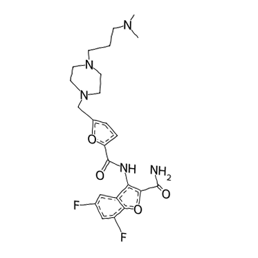 CN(C)CCCN1CCN(Cc2ccc(C(=O)Nc3c(C(N)=O)oc4c(F)cc(F)cc34)o2)CC1